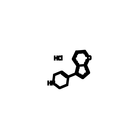 C1=C(c2ccc3occcc2-3)CCNC1.Cl